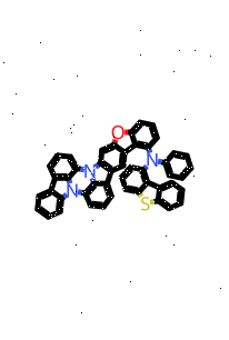 c1ccc(N(c2cccc3oc4cc5c(cc4c23)c2cccc3c2n5c2cccc4c5ccccc5n3c42)c2cccc3sc4ccccc4c23)cc1